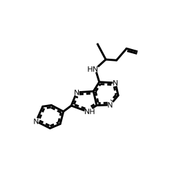 C=CCC(C)Nc1ncnc2[nH]c(-c3ccncc3)nc12